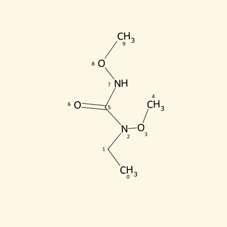 CCN(OC)C(=O)NOC